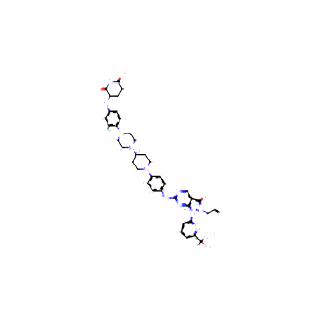 C=CCn1c(=O)c2cnc(Nc3ccc(N4CCC(N5CCN(c6ccc(NC7CCC(=O)NC7=O)cc6F)CC5)CC4)cc3)nc2n1-c1cccc(C(C)(C)O)n1